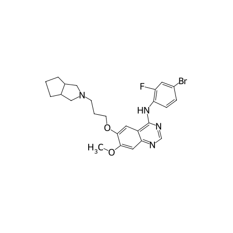 COc1cc2ncnc(Nc3ccc(Br)cc3F)c2cc1OCCCN1CC2CCCC2C1